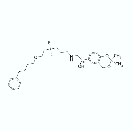 CC1(C)OCc2cc([C@@H](O)CNCCCC(F)(F)CCOCCCCc3ccccc3)ccc2O1